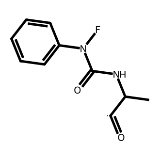 CC([C]=O)NC(=O)N(F)c1ccccc1